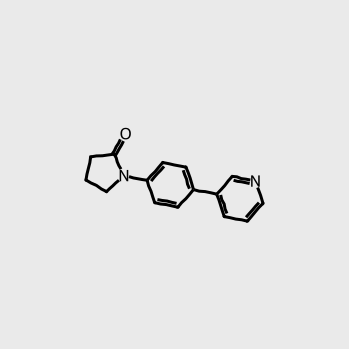 O=C1CCCN1c1ccc(-c2cccnc2)cc1